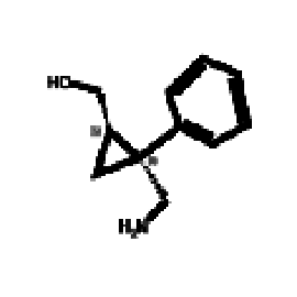 NC[C@]1(c2ccccc2)C[C@@H]1CO